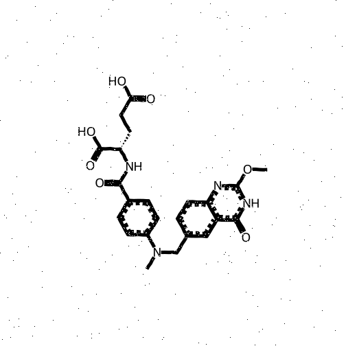 COc1nc2ccc(CN(C)c3ccc(C(=O)N[C@@H](CCC(=O)O)C(=O)O)cc3)cc2c(=O)[nH]1